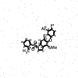 CSc1c(Oc2ccc(F)c(C(C)=O)c2)c(F)cc2c1ccn2S(=O)(=O)c1ccccc1C